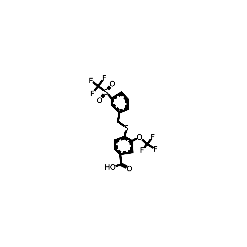 O=C(O)c1ccc(SCc2cccc(S(=O)(=O)C(F)(F)F)c2)c(OC(F)(F)F)c1